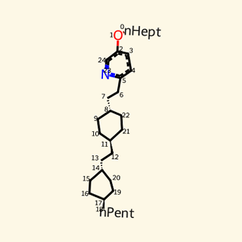 CCCCCCCOc1ccc(CC[C@H]2CC[C@H](CC[C@H]3CC[C@H](CCCCC)CC3)CC2)nc1